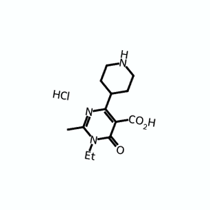 CCn1c(C)nc(C2CCNCC2)c(C(=O)O)c1=O.Cl